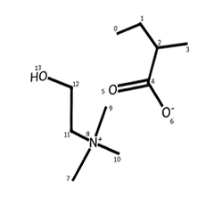 CCC(C)C(=O)[O-].C[N+](C)(C)CCO